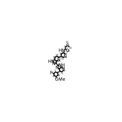 COc1cc(F)cc(-c2ccnc3[nH]c(-c4n[nH]c5ccc(-c6cncc(NC(=O)CN(C)C)c6)nc45)nc23)c1